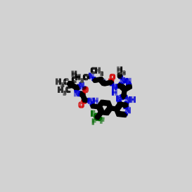 CN(C)C/C=C/C(=O)Nc1c(-c2nc3c(-c4ccc(CNC(=O)c5nc(C(C)(C)C)no5)c(C(F)(F)F)c4)ccnc3[nH]2)cnn1C